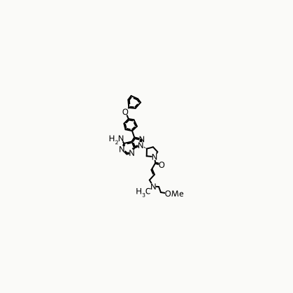 COCCN(C)CC=CC(=O)N1CC[C@@H](n2nc(-c3ccc(Oc4ccccc4)cc3)c3c(N)ncnc32)C1